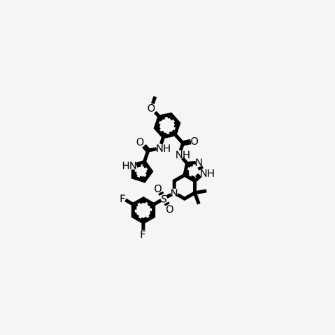 COc1ccc(C(=O)Nc2n[nH]c3c2CN(S(=O)(=O)c2cc(F)cc(F)c2)CC3(C)C)c(NC(=O)c2ccc[nH]2)c1